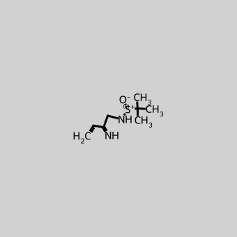 C=CC(=N)CN[S@@+]([O-])C(C)(C)C